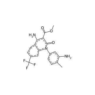 COC(=O)c1c(N)c2ccc(C(F)(F)F)cc2n(-c2ccc(C)c(N)c2)c1=O